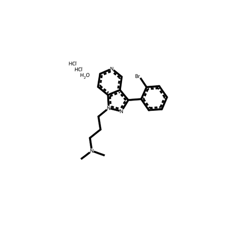 CN(C)CCCn1nc(-c2ccccc2Br)c2cnccc21.Cl.Cl.O